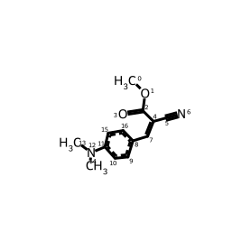 COC(=O)/C(C#N)=C\c1ccc(N(C)C)cc1